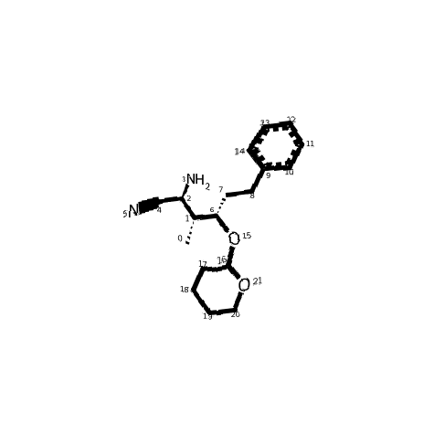 C[C@H]([C@H](N)C#N)[C@H](CCc1ccccc1)OC1CCCCO1